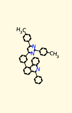 Cc1ccc(-c2cc(-c3cccc(-c4cccc5c(-c6ccccc6)nc6ccccc6c45)c3)nc(-c3ccc(C)cc3)n2)cc1